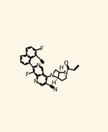 C#Cc1c(F)ccc2cccc(-c3ncc4c(N5C[C@@H]6[C@H]5CCN6C(=O)C=C)c(C#N)cnc4c3F)c12